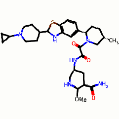 COC1NCC(NC(=O)C(=O)N2C[C@@H](C)CC[C@@H]2c2ccc3c(c2)NC(C2CCN(C4CC4)CC2)S3)CC1C(N)=O